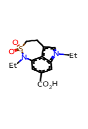 CCN1c2cc(C(=O)O)cc3c2c(cn3CC)CCS1(=O)=O